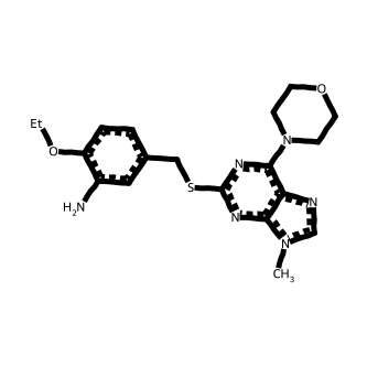 CCOc1ccc(CSc2nc(N3CCOCC3)c3ncn(C)c3n2)cc1N